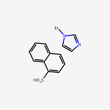 CCn1ccnc1.O=S(=O)(O)c1cccc2ccccc12